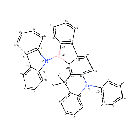 CC1(C)c2ccccc2N(c2ccccc2)c2ccc3c(c21)B1c2c-3cccc2-c2cccc3c4ccccc4n1c23